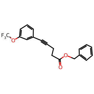 O=C(CCC#Cc1cccc(OC(F)(F)F)c1)OCc1ccccc1